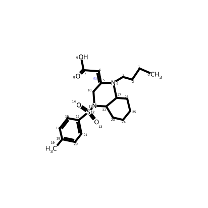 CCCCN1/C(=C/C(=O)O)CN(S(=O)(=O)c2ccc(C)cc2)C2CCCCC21